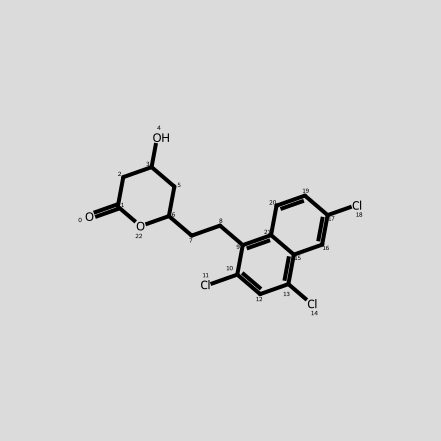 O=C1CC(O)CC(CCc2c(Cl)cc(Cl)c3cc(Cl)ccc23)O1